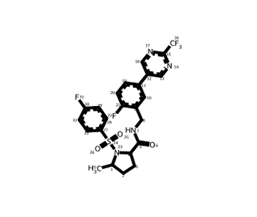 CC1CCC(C(=O)NCc2cc(-c3cnc(C(F)(F)F)nc3)ccc2F)N1S(=O)(=O)c1ccc(F)cc1